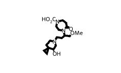 COCC(CCN1CCC2(CC2)[C@H](O)C1)N1CCN(C(=O)O)CCC1=O